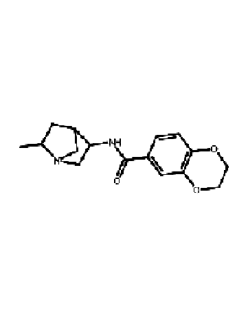 CC1CC2CN1CC2NC(=O)c1ccc2c(c1)OCCO2